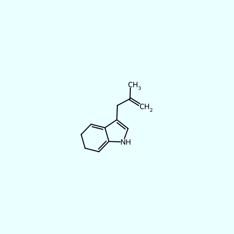 C=C(C)Cc1c[nH]c2c1=CCCC=2